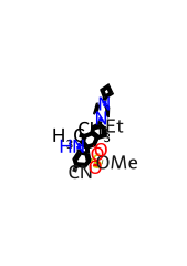 CCc1cc2c(cc1N1CCN(C3CCC3)CC1)C(C)(C)c1[nH]c3cc(C#N)cc(S(=O)(=O)OC)c3c1C2=O